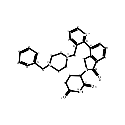 O=C1CCC(N2Cc3c(cccc3-c3ncccc3CN3CCN(Cc4ccccc4)CC3)C2=O)C(=O)N1